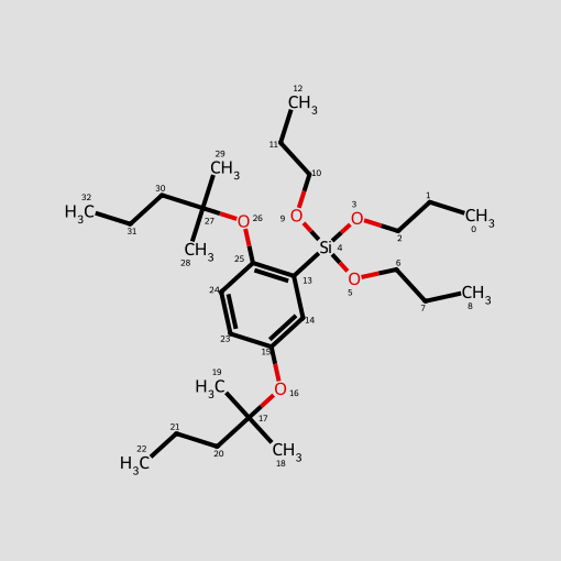 CCCO[Si](OCCC)(OCCC)c1cc(OC(C)(C)CCC)ccc1OC(C)(C)CCC